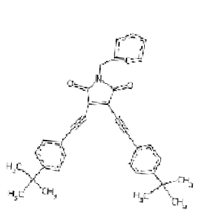 CC(C)(C)c1ccc(C#CC2=C(C#Cc3ccc(C(C)(C)C)cc3)C(=O)N(Cc3ccccc3)C2=O)cc1